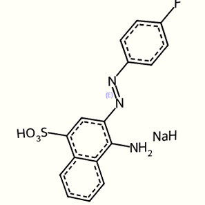 Nc1c(/N=N/c2ccc(F)cc2)cc(S(=O)(=O)O)c2ccccc12.[NaH]